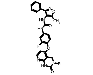 CCN1Cc2c(Oc3ccc(NC(=O)Nc4c(-c5ccccc5)noc4C)cc3F)ccnc2NC1=O